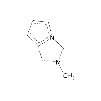 CN1Cc2cccn2C1